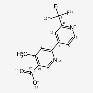 Cc1cc(-c2ccnc(C(F)(F)F)c2)ncc1[N+](=O)[O-]